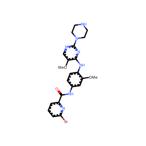 COc1cc(NC(=O)c2cccc(Br)n2)ccc1Nc1nc(N2CCNCC2)ncc1OC